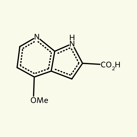 COc1ccnc2[nH]c(C(=O)O)cc12